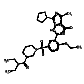 CCOc1ccc(S(=O)(=O)N2CCCC(C(=O)N(CC)CC)C2)cc1-c1nc(=O)c2c(C)nc(C3CCCC3)n2[nH]1